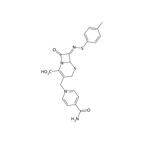 Cc1ccc(SN=C2C(=O)N3C(C(=O)O)=C(C[n+]4ccc(C(N)=O)cc4)CSC23)cc1